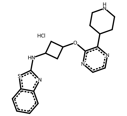 Cl.c1ccc2sc(NC3CC(Oc4nccnc4C4CCNCC4)C3)nc2c1